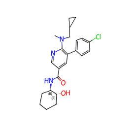 CN(CC1CC1)c1ncc(C(=O)N[C@@H]2CCCC[C@H]2O)cc1-c1ccc(Cl)cc1